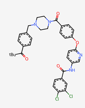 CC(C)(C)C(=O)c1ccc(CN2CCN(C(=O)c3ccc(Oc4ccc(NC(=O)c5ccc(Cl)c(Cl)c5)cn4)cc3)CC2)cc1